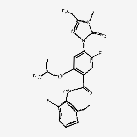 Cc1cccc(F)c1NC(=O)c1cc(F)c(-n2nc(C(F)(F)F)n(C)c2=O)cc1OC(C)C(F)(F)F